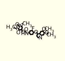 CCn1cc(OC(=O)Nc2ccc(Oc3ccnc4cc(OC)c(OC)cc34)c(F)c2)c(=O)n(CC)c1=O